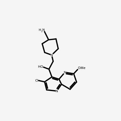 COc1ccc2ncc(Cl)c(C(O)CN3CCC(N)CC3)c2n1